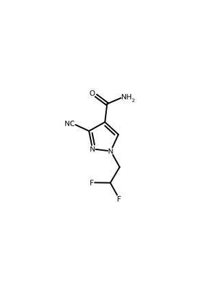 N#Cc1nn(CC(F)F)cc1C(N)=O